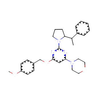 COc1ccc(COc2cc(N3CCOCC3)nc(N3CCCC3C(C)c3ccccc3)n2)cc1